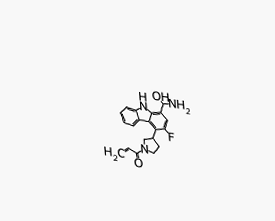 C=CC(=O)N1CCC(c2c(F)cc(C(N)O)c3[nH]c4ccccc4c23)C1